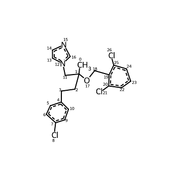 CC(CCc1ccc(Cl)cc1)(Cn1ccnc1)OCc1c(Cl)cccc1Cl